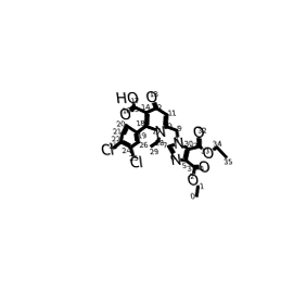 CCOC(=O)c1ncn(Cc2cc(=O)c(C(=O)O)c(-c3ccc(Cl)c(Cl)c3)n2CC)c1C(=O)OCC